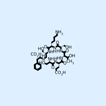 CC(O)[C@H](NC(=O)[C@H](CCC(=O)O)NC(=O)[C@@H](N)CO)C(=O)N[C@@H](CO)C(=O)N[C@@H](CCCCN)C(=O)N[C@@H](CO)CN[C@@H](Cc1ccccc1)C(=O)O